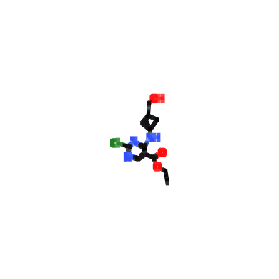 CCOC(=O)c1cnc(Cl)nc1NC12CC(CO)(C1)C2